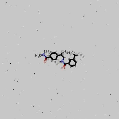 CC(C)c1cccc(C(=O)N(C)CC(C)c2ccc(C(=O)N(C)C)cc2)c1